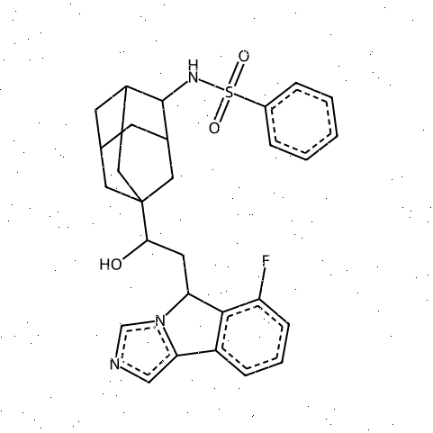 O=S(=O)(NC1C2CC3CC1CC(C(O)CC1c4c(F)cccc4-c4cncn41)(C3)C2)c1ccccc1